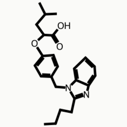 CCCCc1nc2ccccc2n1Cc1ccc(OC(CC(C)C)C(=O)O)cc1